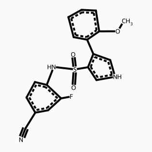 COc1ccccc1-c1c[nH]cc1S(=O)(=O)Nc1ccc(C#N)cc1F